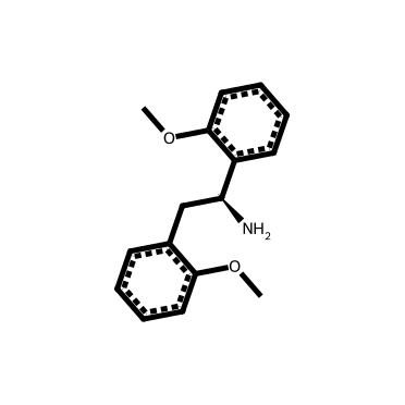 COc1ccccc1C[C@H](N)c1ccccc1OC